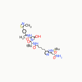 Cc1ncsc1-c1ccc([C@H](C)NC(=O)[C@@H]2C[C@@H](O)CN2C(=O)C(NC(=O)CCCCCc2ccnc([C@H](CCC(N)=O)N[S+]([O-])C(C)(C)C)c2)C(C)(C)C)cc1